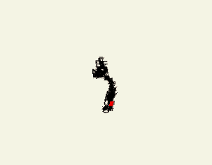 FC(F)(F)c1ccc2c(SCCCCCCn3cc(CN4CCOCC4)nn3)ccnc2c1